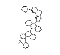 C[Si]1(C)c2ccccc2-c2c1ccc1cc(-c3c4ccccc4c(-c4ccc5ccc6ccc(-c7ccccc7)nc6c5n4)c4ccccc34)c3ccccc3c21